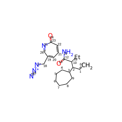 C=CC(C1CCCCCC1)C(CC)C(N)=O.[N-]=[N+]=NCc1cccc(=O)nc1